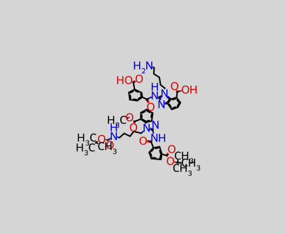 COC(=O)c1cccc2nc(NC(=O)c3cccc(C(=O)OC(C)(C)C)c3)n(CCCCCNC(=O)OC(C)(C)C)c12.NCCCCCn1c(NC(=O)c2cccc(C(=O)O)c2)nc2cccc(C(=O)O)c21